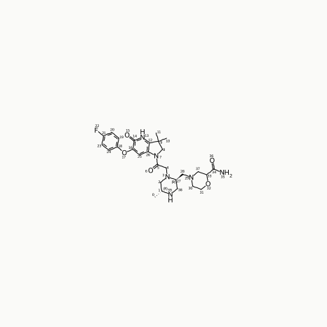 C[C@@H]1CN(CC(=O)N2CC(C)(C)c3[nH]c(=O)c(Oc4ccc(F)cc4)cc32)[C@@H](CN2CCOC(C(N)=O)C2)CN1